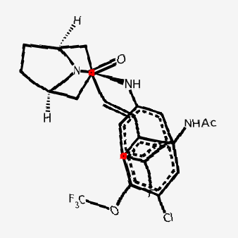 CC(=O)Nc1cc(Cl)c(OC(F)(F)F)cc1C=CC(=O)N1[C@@H]2CC[C@H]1C[C@@H](Nc1ccc(F)cc1)C2